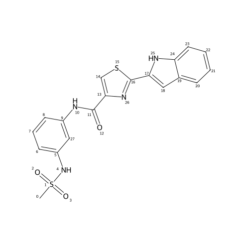 CS(=O)(=O)Nc1cccc(NC(=O)c2csc(-c3cc4ccccc4[nH]3)n2)c1